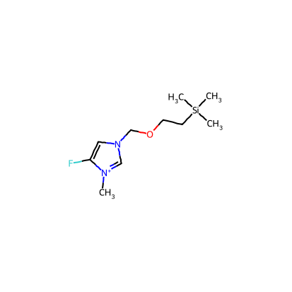 C[n+]1cn(COCC[Si](C)(C)C)cc1F